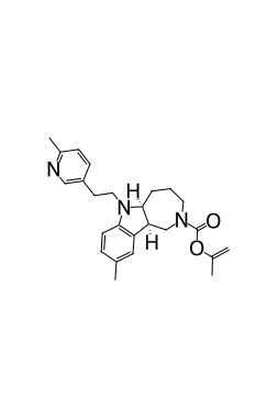 C=C(C)OC(=O)N1CCC[C@H]2[C@@H](C1)c1cc(C)ccc1N2CCc1ccc(C)nc1